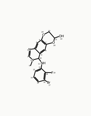 CN1C=Nc2cc3c(cc2C1Nc1cccc(Br)c1F)OC(O)CO3